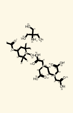 CC(=O)OC1CC(C)(C)N(O)C(C)(C)C1.NC(CO)(CO)CO.O=C(O)CN(CCN(CC(=O)O)CC(=O)O)CC(=O)O